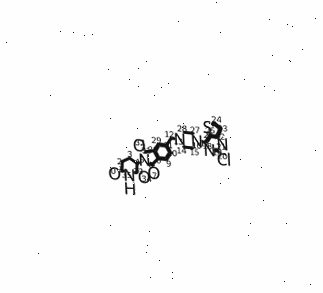 O=C1CCC(N2C(=O)c3ccc(CN4CCN(c5nc(Cl)nc6ccsc56)CC4)cc3C2=O)C(=O)N1